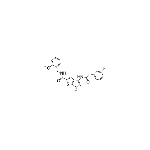 COc1ccccc1CNC(=O)c1cc2c(NC(=O)Cc3cccc(F)c3)n[nH]c2s1